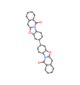 O=c1c2ccccc2cc2oc3cc(-c4ccc5c(c4)oc4cc6ccccc6c(=O)n45)ccc3n12